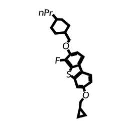 CCCC1CCC(COc2ccc3c(sc4cc(OCC5CC5)ccc43)c2F)CC1